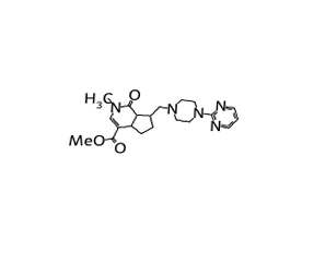 COC(=O)C1=CN(C)C(=O)C2C(CN3CCN(c4ncccn4)CC3)CCC12